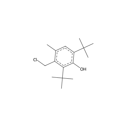 Cc1cc(C(C)(C)C)c(O)c(C(C)(C)C)c1CCl